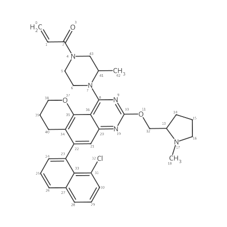 C=CC(=O)N1CCN(c2nc(OCC3CCCN3C)nc3cc(-c4cccc5cccc(Cl)c45)c4c(c23)OCCC4)C(C)C1